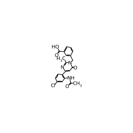 CC(=O)Nc1cc(Cl)ccc1-c1cc(=O)n(Cc2cccc(C(=O)O)c2)c(C)n1